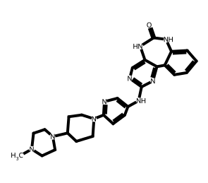 CN1CCN(C2CCN(c3ccc(Nc4ncc5c(n4)-c4ccccc4NC(=O)N5)cn3)CC2)CC1